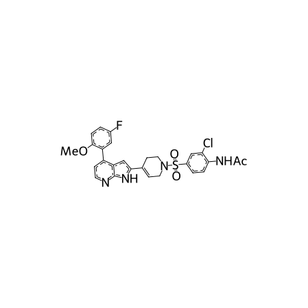 COc1ccc(F)cc1-c1ccnc2[nH]c(C3=CCN(S(=O)(=O)c4ccc(NC(C)=O)c(Cl)c4)CC3)cc12